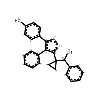 Oc1ccc(-c2noc(C3(C(O)c4ccccc4)CC3)c2-c2ccccc2)cc1